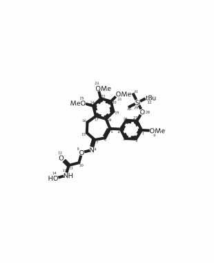 COc1ccc(C2=CC(=NOCC(=O)NO)CCc3c2cc(OC)c(OC)c3OC)cc1O[Si](C)(C)C(C)(C)C